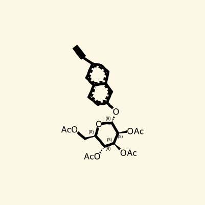 C#Cc1ccc2cc(O[C@H]3O[C@H](COC(C)=O)[C@@H](OC(C)=O)[C@H](OC(C)=O)[C@@H]3OC(C)=O)ccc2c1